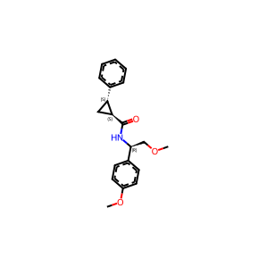 COC[C@H](NC(=O)[C@H]1C[C@@H]1c1ccccc1)c1ccc(OC)cc1